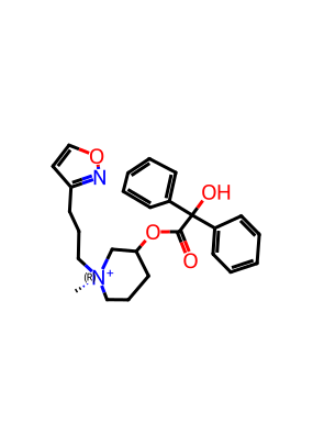 C[N@@+]1(CCCc2ccon2)CCCC(OC(=O)C(O)(c2ccccc2)c2ccccc2)C1